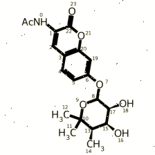 CC(=O)Nc1cc2ccc(OC3OC(C)(C)[C@H](C)[C@H](O)[C@@H]3O)cc2oc1=O